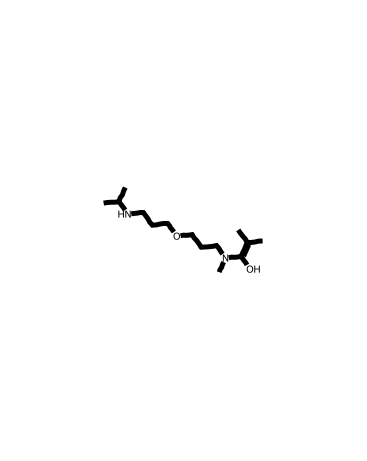 CC(C)=C(O)N(C)CCCOCCCNC(C)C